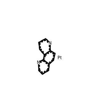 [Pt].c1cnc2c(c1)ccc1ncccc12